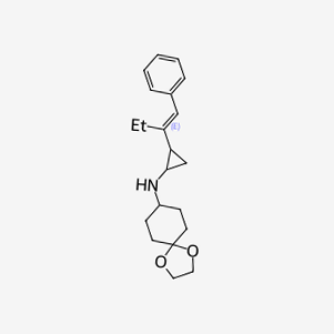 CC/C(=C\c1ccccc1)C1CC1NC1CCC2(CC1)OCCO2